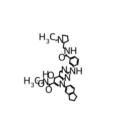 CCN1CCCC1CNC(=O)c1cccc(Nc2ncc3c(=O)c(C(=O)NOC)cn(-c4ccc5c(c4)CCC5)c3n2)c1